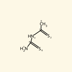 CC(=S)NC(N)=S